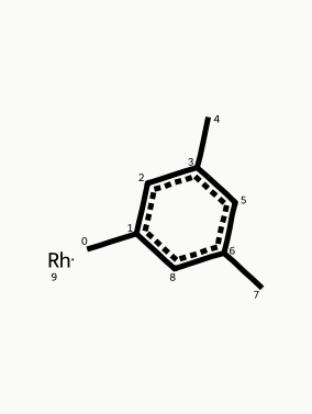 Cc1cc(C)cc(C)c1.[Rh]